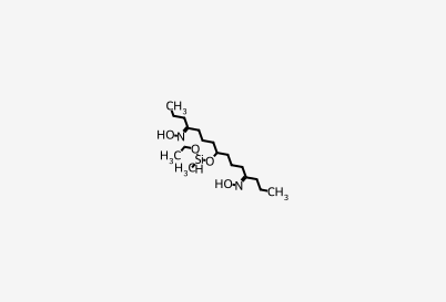 CCCC(CCCC(CCCC(CCC)=NO)O[SiH](C)OCC)=NO